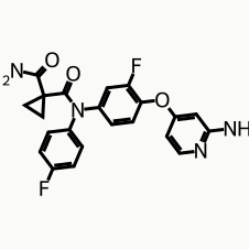 NC(=O)C1(C(=O)N(c2ccc(F)cc2)c2ccc(Oc3ccnc(N)c3)c(F)c2)CC1